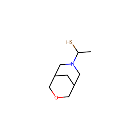 CC(S)N1CC2COCC(C2)C1